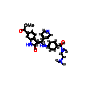 COC(=O)c1ccc2c(c1)NC(=O)/C2=C(\Nc1ccc(C(=O)N(C)CCN(C)C)cc1)c1ccncc1